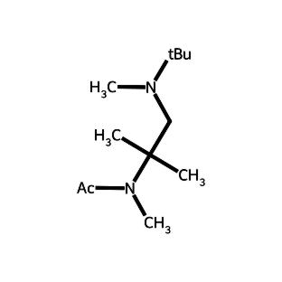 CC(=O)N(C)C(C)(C)CN(C)C(C)(C)C